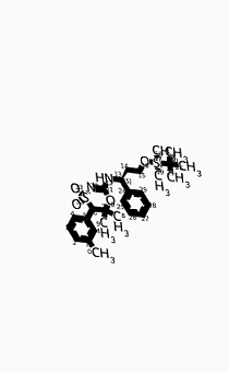 Cc1cccc(C2C(C)(C)OC(N[C@@H](CCO[Si](C)(C)C(C)(C)C)c3ccccc3)=NS2(=O)=O)c1